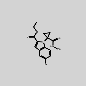 CCOC(=O)c1cc2cc(Br)ccc2n1C1(C(=N)NO)CC1